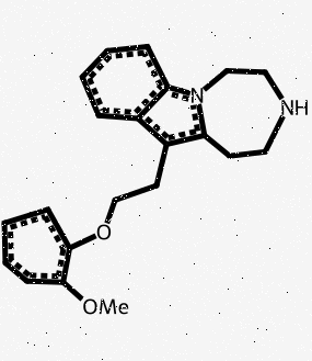 COc1ccccc1OCCc1c2n(c3ccccc13)CCNCC2